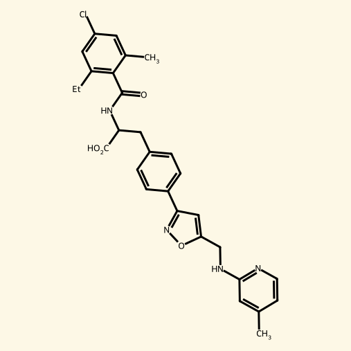 CCc1cc(Cl)cc(C)c1C(=O)NC(Cc1ccc(-c2cc(CNc3cc(C)ccn3)on2)cc1)C(=O)O